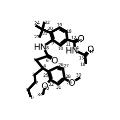 CCCCC(CC(=O)Nc1cc(C(=O)NC(C)=O)ccc1C(C)(C)C)c1ccc(OC)cc1OC